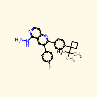 CC(C)(C)C1(c2ccc(-c3nc4ccnc(NN)c4cc3-c3ccc(F)cc3)cc2)CCC1